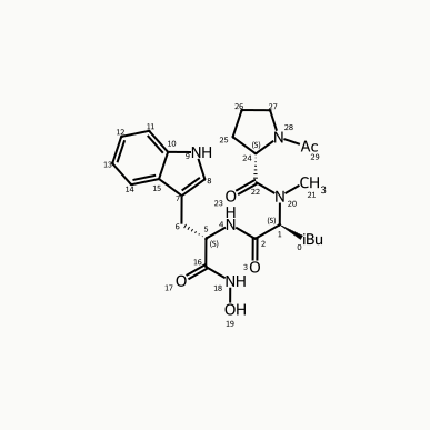 CCC(C)[C@@H](C(=O)N[C@@H](Cc1c[nH]c2ccccc12)C(=O)NO)N(C)C(=O)[C@@H]1CCCN1C(C)=O